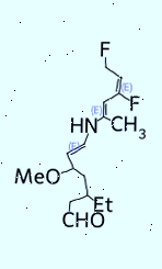 CCC(CC=O)CC(/C=C/N/C(C)=C/C(F)=C\CF)OC